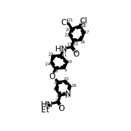 CCNC(=O)c1cc(Oc2ccc(NC(=O)c3ccc(Cl)c(Cl)c3)cc2)ccn1